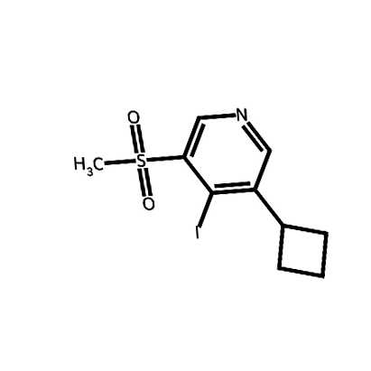 CS(=O)(=O)c1cncc(C2CCC2)c1I